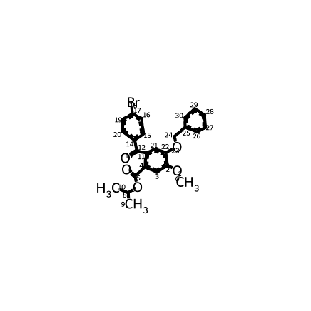 COc1cc(C(=O)OC(C)C)c(C(=O)c2ccc(Br)cc2)cc1OCc1ccccc1